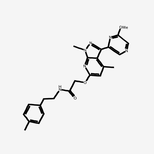 COc1cncc(-c2nn(C)c3nc(OCC(=O)NCCc4ccc(C)cc4)cc(C)c23)n1